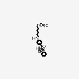 CCCCCCCCCCCCCCCCNc1ccc(C(=O)NS(=O)(=O)c2ccccc2)cc1